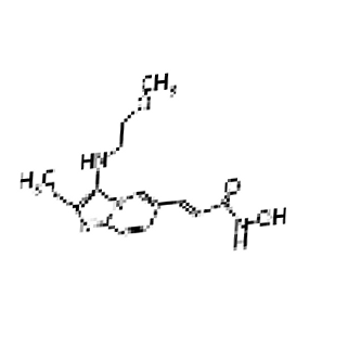 CCc1nc2ccc(/C=C/C(=O)NO)cn2c1NCCOC